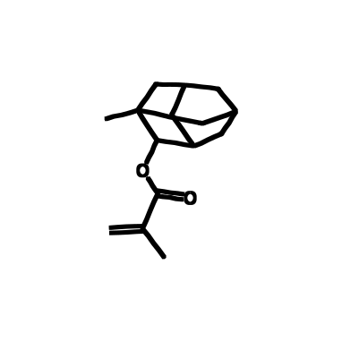 C=C(C)C(=O)OC1C2CC3CC(C2)CC1(C)C3